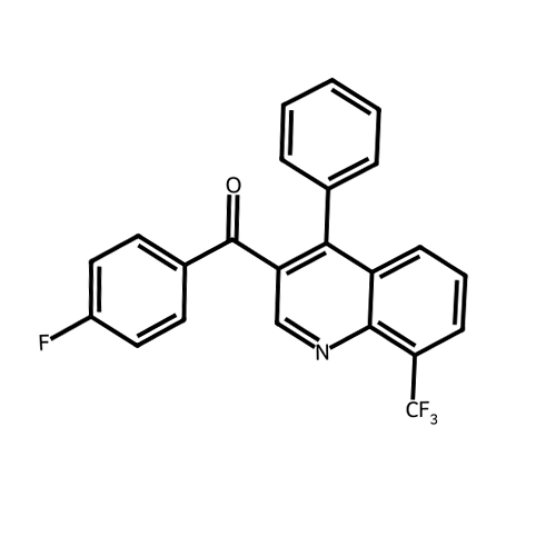 O=C(c1ccc(F)cc1)c1cnc2c(C(F)(F)F)cccc2c1-c1ccccc1